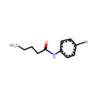 CCc1ccc(NC(=O)CCCC(=O)O)cc1